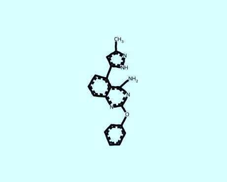 Cc1cc(-c2cccc3nc(Oc4ccccc4)nc(N)c23)[nH]n1